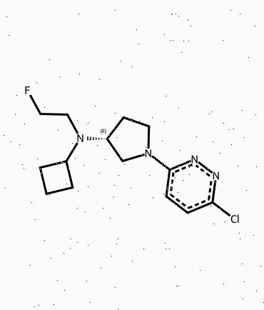 FCCN(C1CCC1)[C@@H]1CCN(c2ccc(Cl)nn2)C1